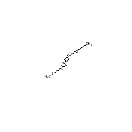 CCCCCCCOCCCCOc1ccc(-c2ncc(OCCCCOCCC)cn2)cc1